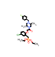 CCOP(=O)(Cc1cc(Cl)ccc1OCC(=O)N1CC(C)N(Cc2ccc(F)cc2)C[C@@H]1C)OCC